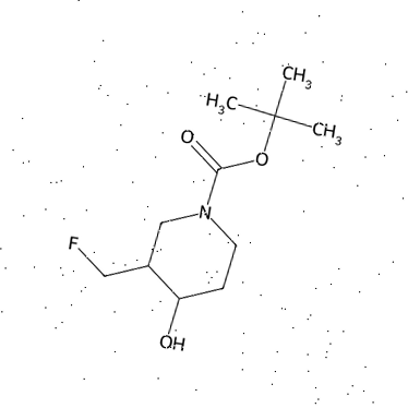 CC(C)(C)OC(=O)N1CCC(O)C(CF)C1